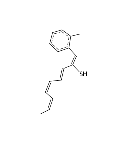 C\C=C/C=C\C=C\C(S)=C/c1ccccc1C